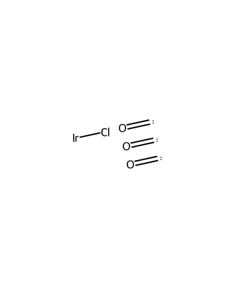 [C]=O.[C]=O.[C]=O.[Cl][Ir]